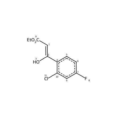 CCOC(=O)C=C(O)c1ccc(F)cc1Cl